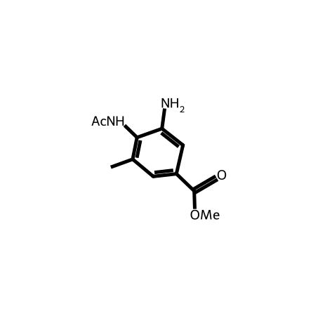 COC(=O)c1cc(C)c(NC(C)=O)c(N)c1